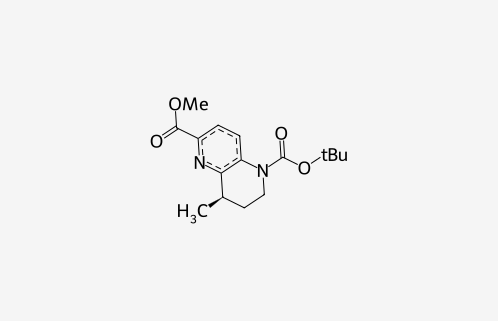 COC(=O)c1ccc2c(n1)[C@H](C)CCN2C(=O)OC(C)(C)C